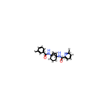 Cc1cccc(C(=O)NC23CCCC(NC(=O)c4cccc(C)n4)(CC2)C3)c1